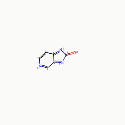 O=C1N=c2ccncc2=N1